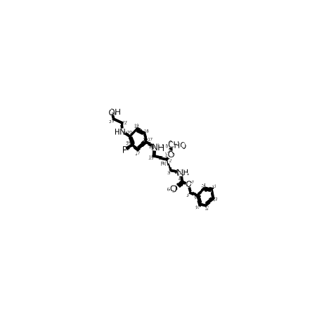 O=CO[C@@H](CNC(=O)OCc1ccccc1)CNc1ccc(NCCO)c(F)c1